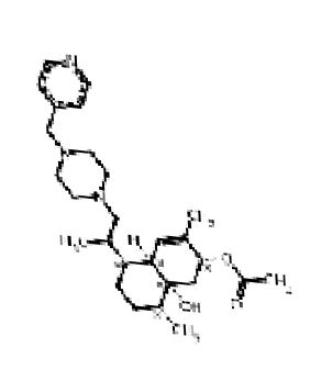 CC(=O)O[C@@H]1[CH][C@@]2(O)[C@H](C)CC[C@@H](C(C)CN3CCN(Cc4ccncc4)CC3)[C@H]2C=C1C